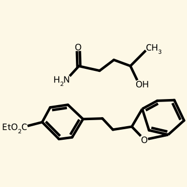 CC(O)CCC(N)=O.CCOC(=O)c1ccc(CCC2Oc3cccc2c3)cc1